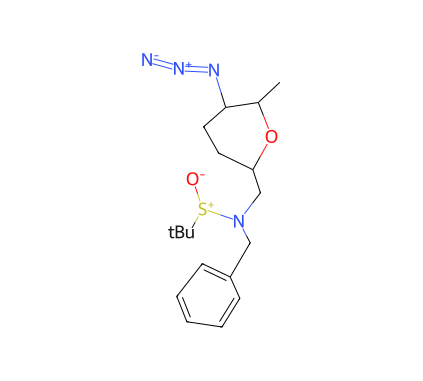 CC1OC(CN(Cc2ccccc2)[S+]([O-])C(C)(C)C)CCC1N=[N+]=[N-]